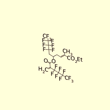 C=C(C(=O)OC(CC=C(C)C(=O)OCC)CC(F)(F)C(F)(F)C(F)(F)C(F)(F)F)C(F)(F)C(F)(F)C(F)(F)C(F)(F)F